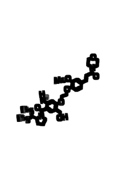 CCSC(SCC)[C@@H]1CCCN1C(=O)c1cc(CO)c(OCCOc2ccc(/C=C/C(=O)N3CCOCC3)cc2OC)cc1N